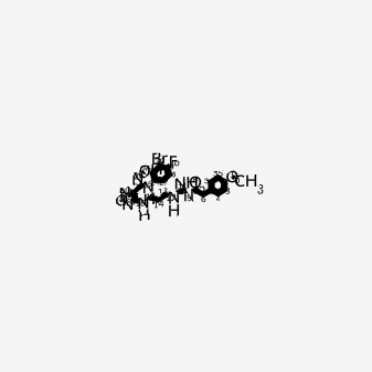 COc1ccc(CC(=O)/N=C(\N)NCCCNc2nonc2/C(=N/O)Nc2ccc(F)c(Br)c2)cc1